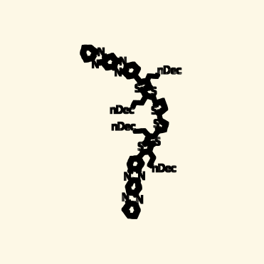 CCCCCCCCCCCCc1c(-c2ccc3nc4cc5nc6ccccc6nc5cc4nc3c2)sc2c(CCCCCCCCCCCC)c(-c3ccc(-c4ccc(-c5sc6c(CCCCCCCCCCCC)c(-c7ccc8nc9cc%10nc%11ccccc%11nc%10cc9nc8c7)sc6c5CCCCCCCCCCCC)s4)s3)sc12